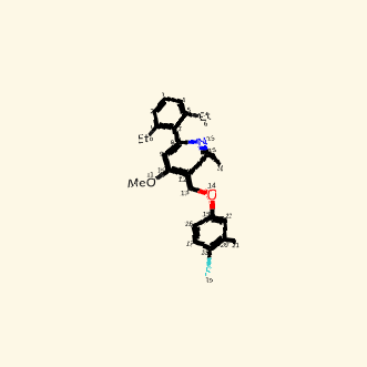 CCc1cccc(CC)c1-c1cc(OC)c(COc2ccc(F)c(C)c2)c(C)n1